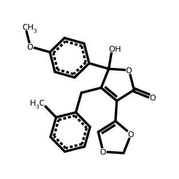 COc1ccc(C2(O)OC(=O)C(C3=COCO3)=C2Cc2ccccc2C)cc1